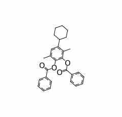 Cc1cc(C2CCCCC2)c(C)c(OC(=O)c2ccccc2)c1OC(=O)c1ccccc1